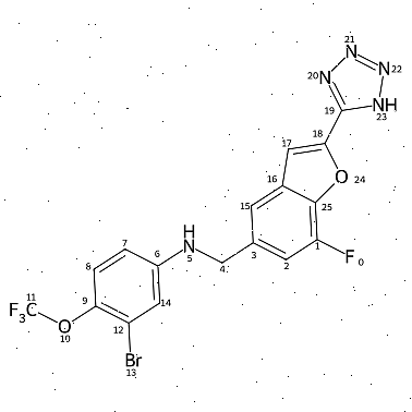 Fc1cc(CNc2ccc(OC(F)(F)F)c(Br)c2)cc2cc(-c3nnn[nH]3)oc12